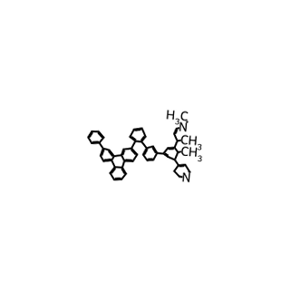 C/C=N\C=C/C(C)C1=CC(c2cccc(-c3ccccc3-c3ccc4c5ccccc5c5ccc(-c6ccccc6)cc5c4c3)c2)=CC(C2=CC=NCC2)C1C